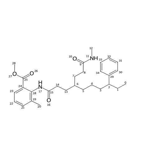 CCC(CCCC(CCC(=O)NC)CCC(=O)Nc1c(C)cccc1C(=O)OC)c1ccccc1